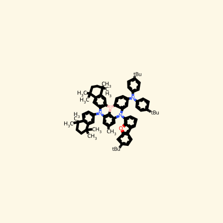 Cc1cc2c3c(c1)N(c1cccc4c1oc1cc(C(C)(C)C)ccc14)c1cc(N(c4ccc(C(C)(C)C)cc4)c4ccc(C(C)(C)C)cc4)ccc1B3c1cc3c(cc1N2c1ccc2c(c1)C(C)(C)CCC2(C)C)C(C)(C)CCC3(C)C